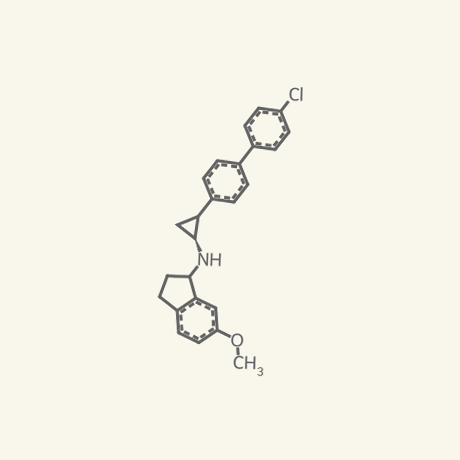 COc1ccc2c(c1)C(N[C@H]1CC1c1ccc(-c3ccc(Cl)cc3)cc1)CC2